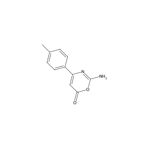 Cc1ccc(-c2cc(=O)oc(N)n2)cc1